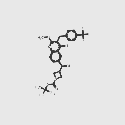 COc1nc2ccc(C(O)C3CN(C(=O)OC(C)(C)C)C3)cc2c(Cl)c1Cc1ccc(C(F)(F)F)cc1